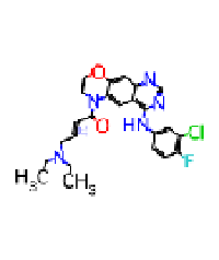 CCN(CC)C/C=C/C(=O)N1CCOc2cc3ncnc(Nc4ccc(F)c(Cl)c4)c3cc21